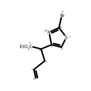 C=CCC(C(=O)OCC)c1csc(Br)n1